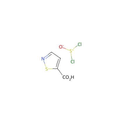 O=C(O)c1ccns1.[O-][S+](Cl)Cl